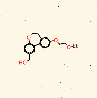 CCOCCOc1ccc2c(c1)CCOc1ccc(CO)cc1-2